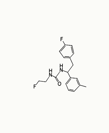 Cc1cccc(C(Cc2ccc(F)cc2)NC(=O)NCCF)c1